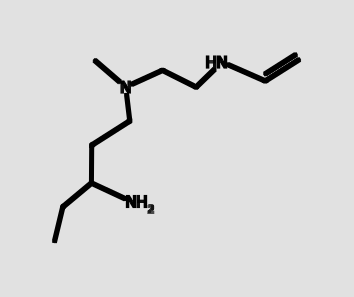 C=CNCCN(C)CCC(N)CC